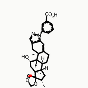 C[C@H]1C[C@H]2[C@@H]3CCC4=Cc5c(cnn5-c5cccc(C(=O)O)c5)C[C@]4(C)[C@@]3(F)[C@@H](O)C[C@]2(C)[C@]12OCOC21COCO1